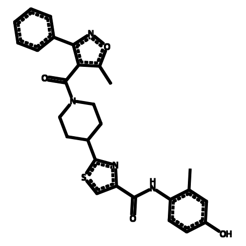 Cc1cc(O)ccc1NC(=O)c1csc(C2CCN(C(=O)c3c(-c4ccccc4)noc3C)CC2)n1